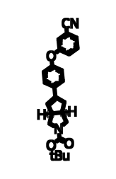 CC(C)(C)OC(=O)N1C[C@H]2CC(c3ccc(Oc4cccc(C#N)c4)cc3)=C[C@H]2C1